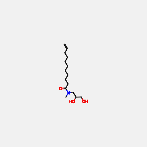 C=CCCCCCCCCC(=O)N(C)CC(O)CO